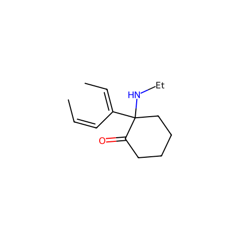 C/C=C\C(=C/C)C1(NCC)CCCCC1=O